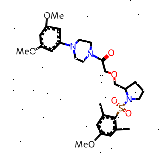 COc1cc(OC)cc(N2CCN(C(=O)COCC3CCCN3S(=O)(=O)c3c(C)cc(OC)cc3C)CC2)c1